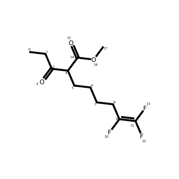 CCC(=O)C(CCCCC(F)=C(F)F)C(=O)OC